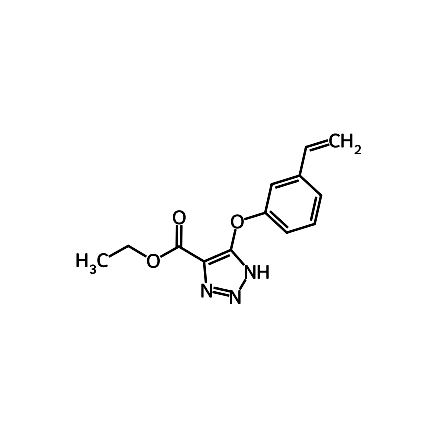 C=Cc1cccc(Oc2[nH]nnc2C(=O)OCC)c1